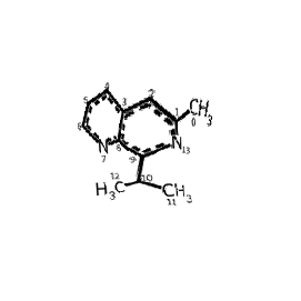 Cc1cc2cccnc2c(C(C)C)n1